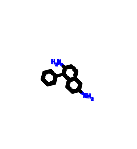 Nc1ccc2c(-c3ccccc3)c(N)ccc2c1